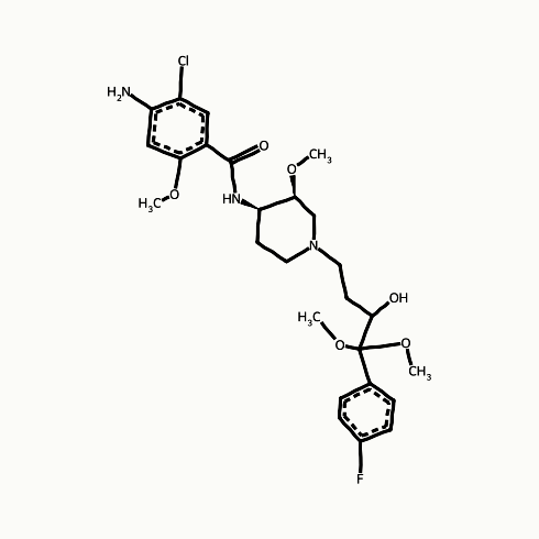 COc1cc(N)c(Cl)cc1C(=O)N[C@@H]1CCN(CCC(O)C(OC)(OC)c2ccc(F)cc2)C[C@@H]1OC